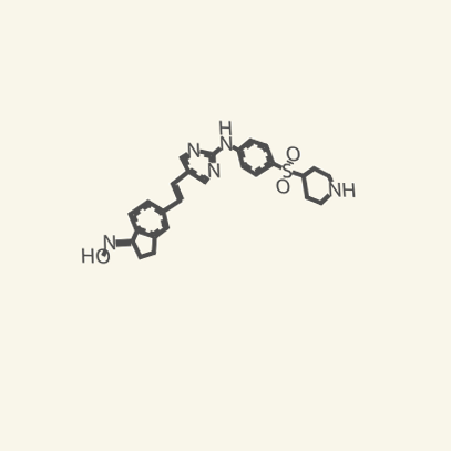 O=S(=O)(c1ccc(Nc2ncc(/C=C/c3ccc4c(c3)CC/C4=N\O)cn2)cc1)C1CCNCC1